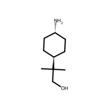 CC(C)(CO)[C@H]1CC[C@H](N)CC1